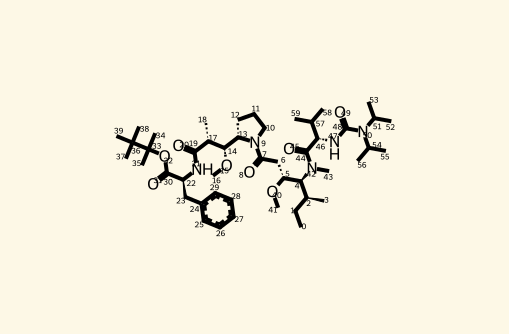 CC[C@H](C)[C@@H]([C@@H](CC(=O)N1CCC[C@H]1[C@H](OC)[C@@H](C)C(=O)N[C@@H](Cc1ccccc1)C(=O)OC(C)(C)C(C)(C)C)OC)N(C)C(=O)[C@@H](NC(=O)N(C(C)C)C(C)C)C(C)C